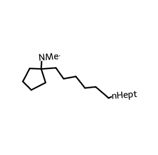 CCCCCCCCCCCCCC1([N]C)CCCC1